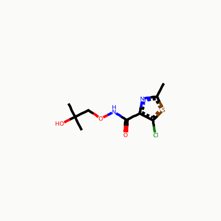 Cc1nc(C(=O)NOCC(C)(C)O)c(Cl)s1